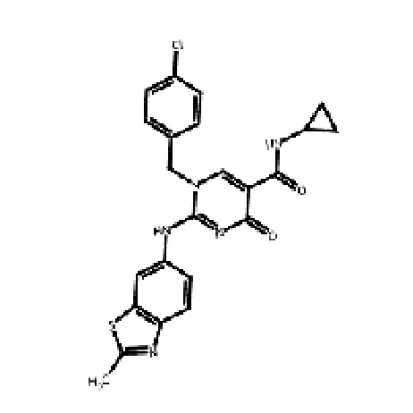 Cc1nc2ccc(Nc3nc(=O)c(C(=O)NC4CC4)cn3Cc3ccc(Cl)cc3)cc2s1